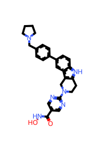 O=C(NO)c1cnc(N2CCc3[nH]c4ccc(-c5ccc(CN6CCCC6)cc5)cc4c3C2)nc1